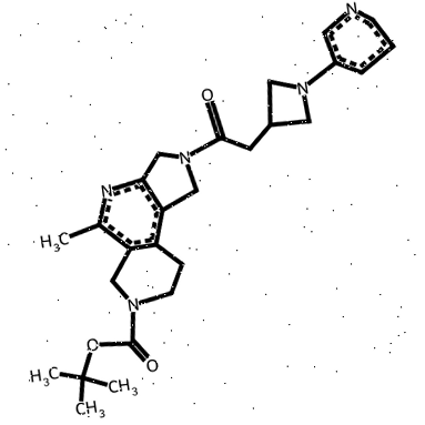 Cc1nc2c(c3c1CN(C(=O)OC(C)(C)C)CC3)CN(C(=O)CC1CN(c3cccnc3)C1)C2